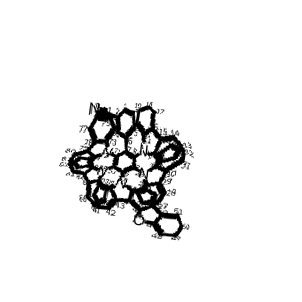 N#Cc1cccc(-c2c(-n3c4ccccc4c4ccccc43)c(-n3c4ccccc4c4ccccc43)c(-n3c4ccccc4c4c5oc6ccccc6c5ccc43)c(-n3c4ccccc4c4ccccc43)c2-n2c3ccccc3c3ccccc32)c1